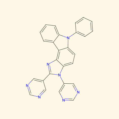 c1ccc(-n2c3ccccc3c3c4nc(-c5cncnc5)n(-c5cncnc5)c4ccc32)cc1